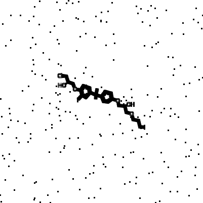 CC(C)(c1ccc(OC[C@@H](O)COCCCI)cc1)c1ccc(OC[C@H](O)CCl)c(I)c1